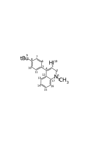 CN1CC=C(c2ccc(C(C)(C)C)cc2)c2ccccc21.I